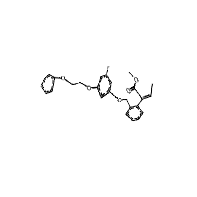 CC=C(C(=O)OC)c1ccccc1COc1cc(F)cc(OCCOc2ccccc2)c1